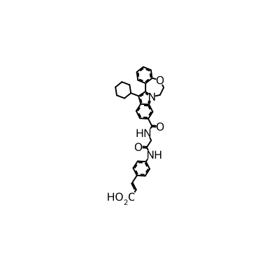 O=C(O)/C=C/c1ccc(NC(=O)CNC(=O)c2ccc3c(C4CCCCC4)c4n(c3c2)CCOc2ccccc2-4)cc1